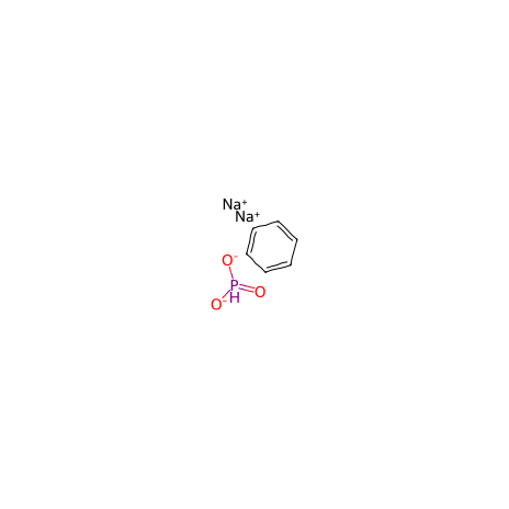 O=[PH]([O-])[O-].[Na+].[Na+].c1ccccc1